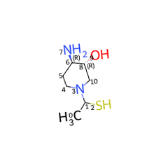 CC(S)N1CC[C@@H](N)[C@H](O)C1